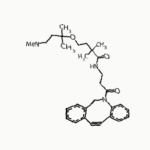 CNCCC(C)(C)OCCC(C)(C)C(=O)NCCC(=O)N1Cc2ccccc2C#Cc2ccccc21